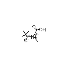 C[C@@H]1[C@H](C(=O)O)N1[S+]([O-])C(C)(C)C